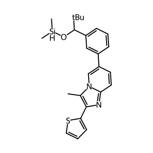 Cc1c(-c2cccs2)nc2ccc(-c3cccc(C(O[SiH](C)C)C(C)(C)C)c3)cn12